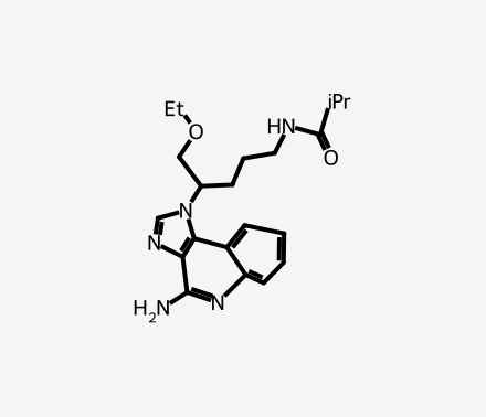 CCOCC(CCCNC(=O)C(C)C)n1cnc2c(N)nc3ccccc3c21